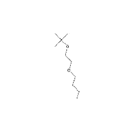 [CH2]C(C)(C)OCCOCCCC